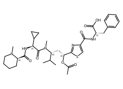 CC(=O)O[C@H](C[C@H](C(C)C)N(C)C(=O)[C@@H](NC(=O)[C@H]1CCCCN1C)C1CC1)c1nc(C(=O)N[C@@H](Cc2ccccc2)C(=O)O)cs1